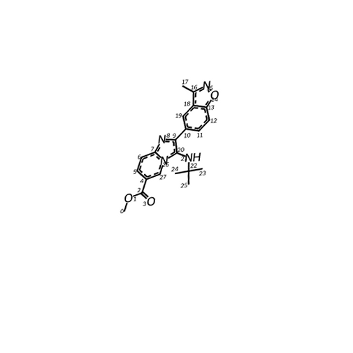 COC(=O)c1ccc2nc(-c3ccc4onc(C)c4c3)c(NC(C)(C)C)n2c1